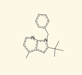 Cc1ccnc2c1cc(C(C)(C)C)n2Cc1ccccc1